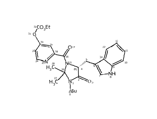 CCCCN1C(=O)[C@@H](Cc2c[nH]c3ccccc23)N(C(=O)c2cc(OC(=O)OCC)ccn2)C1(C)C